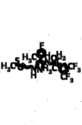 CC(=S)OCCCNc1cc(-c2ccc(F)cc2C)c(NCC(=O)C(C)(C)c2cc(C(F)(F)F)cc(C(F)(F)F)c2)cn1